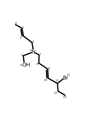 CC=CCN(CO)CCC=CC(Br)CC